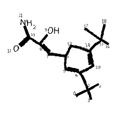 CC(C)(C)C1=CC(C=C(O)C(N)=O)CC(C(C)(C)C)=C1